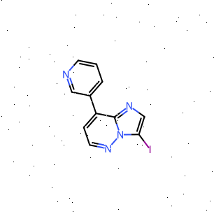 Ic1cnc2c(-c3cccnc3)ccnn12